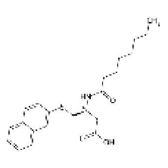 CCCCCCCC(=O)N[C@H](CSc1ccc2ccccc2c1)CC(=O)O